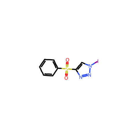 O=S(=O)(c1ccccc1)c1cn(I)nn1